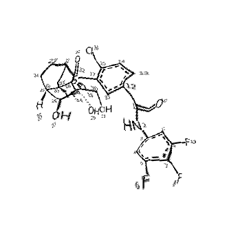 O=C(Nc1cc(F)c(F)c(F)c1)c1ccc(Cl)c(S(=O)(=O)[C@H]2C3CC[C@H]2C(O)[C@](O)(CO)C3)c1